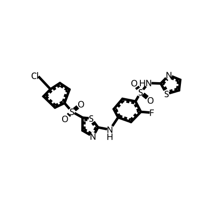 O=S(=O)(Nc1nccs1)c1ccc(Nc2ncc(S(=O)(=O)c3ccc(Cl)cc3)s2)cc1F